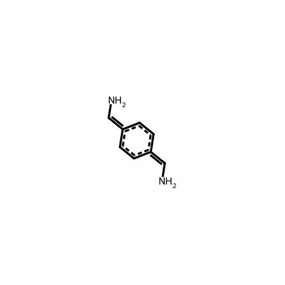 NC=c1ccc(=CN)cc1